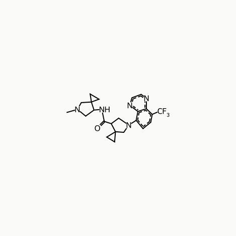 CN1CC(NC(=O)C2CN(c3ccc(C(F)(F)F)c4nccnc34)CC23CC3)C2(CC2)C1